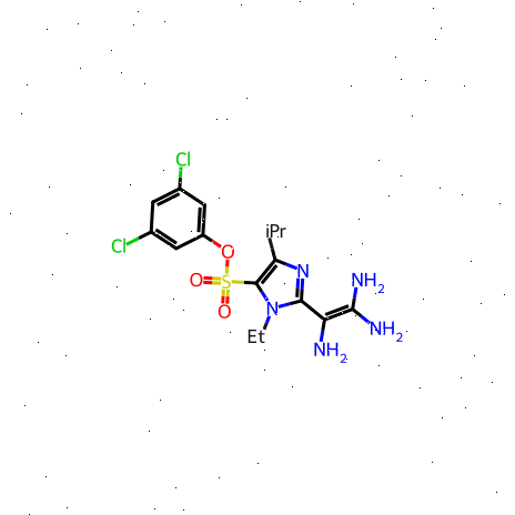 CCn1c(C(N)=C(N)N)nc(C(C)C)c1S(=O)(=O)Oc1cc(Cl)cc(Cl)c1